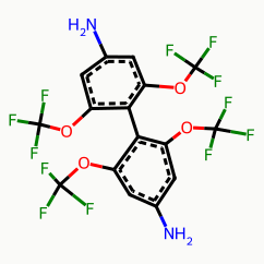 Nc1cc(OC(F)(F)F)c(-c2c(OC(F)(F)F)cc(N)cc2OC(F)(F)F)c(OC(F)(F)F)c1